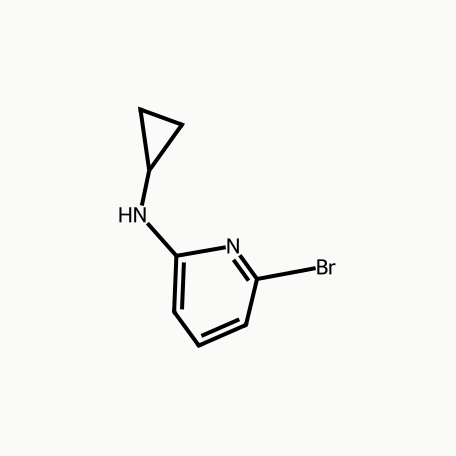 Brc1cccc(NC2CC2)n1